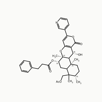 CC(=O)OCC1(C)C2C[C@H](OC(=O)CCc3ccccc3)[C@@]3(C)Oc4cc(-c5cccnc5)oc(=O)c4[C@H](O)C3[C@@]2(C)CC[C@@H]1C